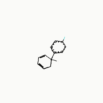 CC(=O)C1(c2ccc(F)cc2)C=CC=CC1